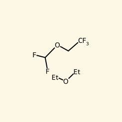 CCOCC.FC(F)OCC(F)(F)F